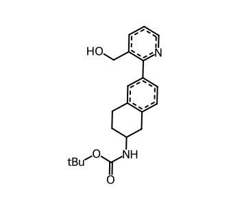 CC(C)(C)OC(=O)NC1CCc2cc(-c3ncccc3CO)ccc2C1